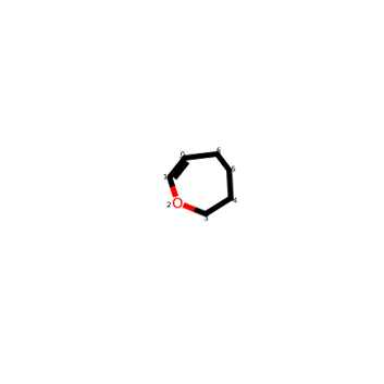 [C]1=COCCCC1